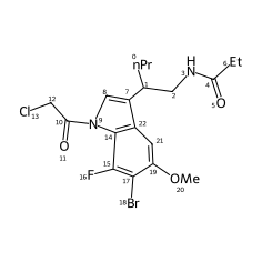 CCCC(CNC(=O)CC)c1cn(C(=O)CCl)c2c(F)c(Br)c(OC)cc12